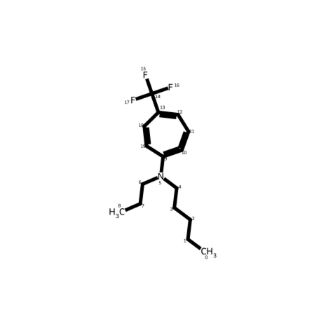 CCCCCN(CCC)C1=C=CC=C(C(F)(F)F)C=C1